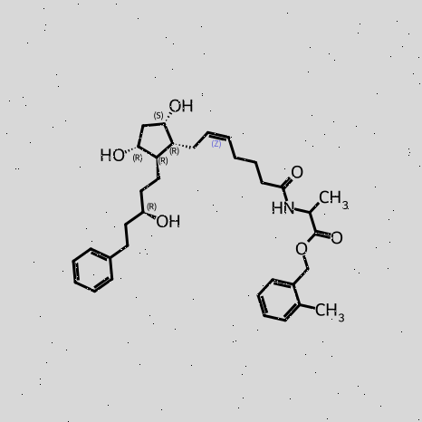 Cc1ccccc1COC(=O)C(C)NC(=O)CCC/C=C\C[C@@H]1[C@@H](CC[C@@H](O)CCc2ccccc2)[C@H](O)C[C@@H]1O